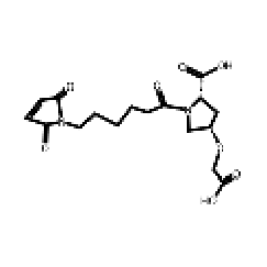 O=C(O)CO[C@@H]1C[C@@H](C(=O)O)N(C(=O)CCCCCN2C(=O)C=CC2=O)C1